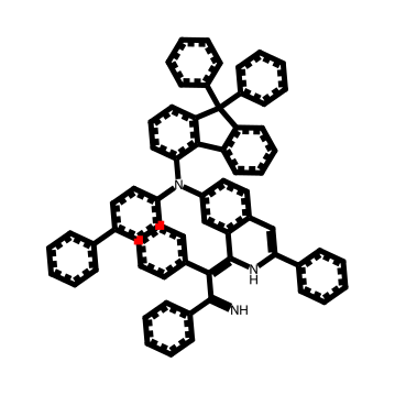 N=C(/C(=C1\NC(c2ccccc2)=Cc2ccc(N(c3ccc(-c4ccccc4)cc3)c3cccc4c3-c3ccccc3C4(c3ccccc3)c3ccccc3)cc21)c1ccccc1)c1ccccc1